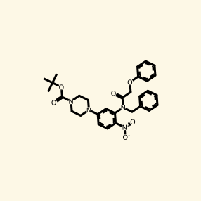 CC(C)(C)OC(=O)N1CCN(c2ccc([N+](=O)[O-])c(N(Cc3ccccc3)C(=O)COc3ccccc3)c2)CC1